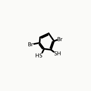 Sc1c(Br)ccc(Br)c1S